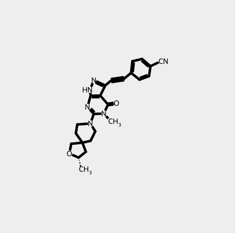 C[C@H]1CC2(CCN(c3nc4[nH]nc(C#Cc5ccc(C#N)cc5)c4c(=O)n3C)CC2)CO1